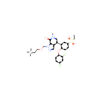 CCS(=O)(=O)c1ccc(Oc2ccc(F)cc2F)c(-c2cn(C)c(=O)c3c2cnn3COCC[Si](C)(C)C)c1